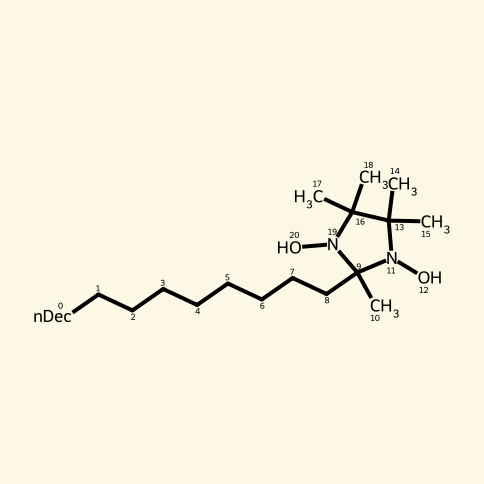 CCCCCCCCCCCCCCCCCCC1(C)N(O)C(C)(C)C(C)(C)N1O